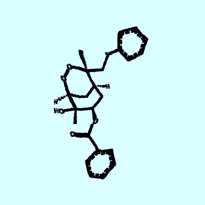 C[C@@]1(O)[C@@H]2C[C@H](C[C@H]1OC(=O)c1ccccc1)[C@@](C)(CSc1ccccc1)OO2